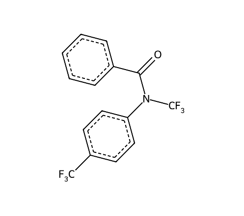 O=C(c1ccccc1)N(c1ccc(C(F)(F)F)cc1)C(F)(F)F